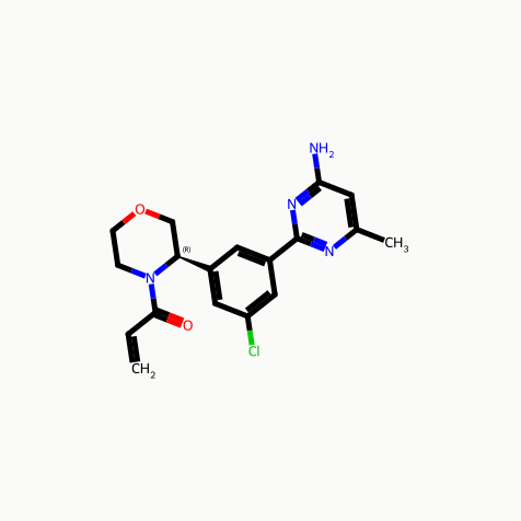 C=CC(=O)N1CCOC[C@H]1c1cc(Cl)cc(-c2nc(C)cc(N)n2)c1